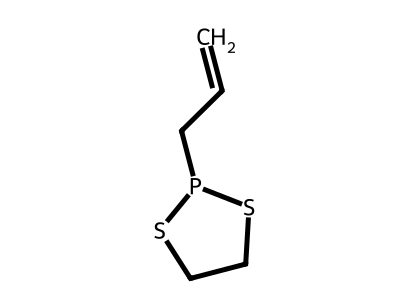 C=CCP1SCCS1